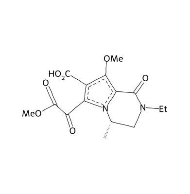 CCN1C[C@H](C)n2c(c(OC)c(C(=O)O)c2C(=O)C(=O)OC)C1=O